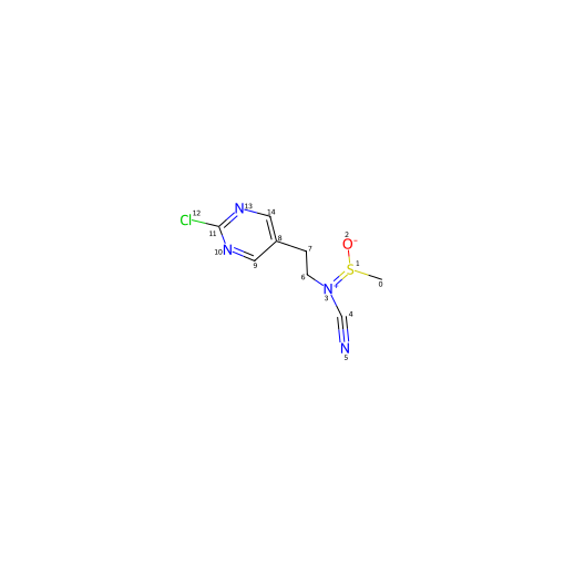 CS([O-])=[N+](C#N)CCc1cnc(Cl)nc1